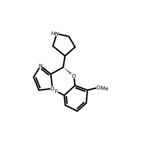 COc1cccc(F)c1O[C@H](c1ncco1)C1CCNC1